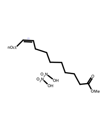 CCCCCCCC/C=C\CCCCCCCC(=O)OC.O=[N+]([O-])O.O=[N+]([O-])O